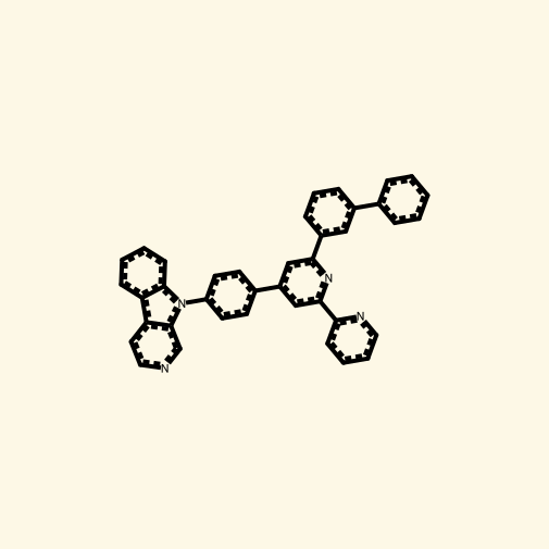 c1ccc(-c2cccc(-c3cc(-c4ccc(-n5c6ccccc6c6ccncc65)cc4)cc(-c4ccccn4)n3)c2)cc1